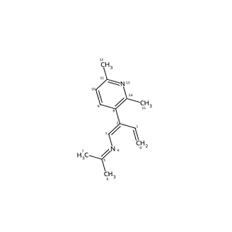 C=C/C(=C\N=C(C)C)c1ccc(C)nc1C